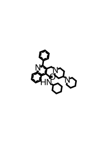 O=C(NC1CCCCC1)c1c(CN2CCC(N3CCCCC3)CC2)c(-c2ccccc2)nc2ccccc12